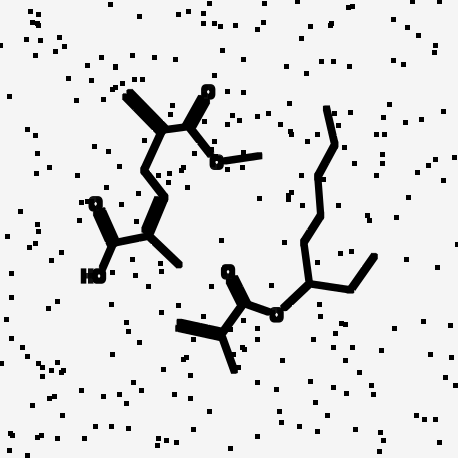 C=C(C)C(=O)OC(CC)CCCCC.C=C(CC=C(C)C(=O)O)C(=O)OC